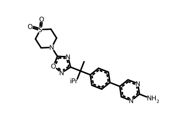 CC(C)C(C)(c1ccc(-c2cnc(N)nc2)cc1)c1noc(N2CCS(=O)(=O)CC2)n1